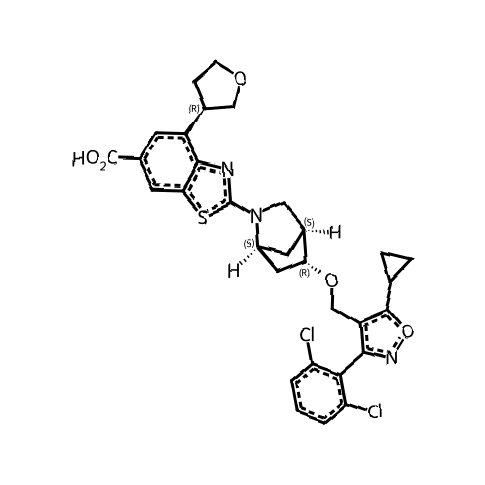 O=C(O)c1cc([C@H]2CCOC2)c2nc(N3C[C@@H]4C[C@H]3C[C@H]4OCc3c(-c4c(Cl)cccc4Cl)noc3C3CC3)sc2c1